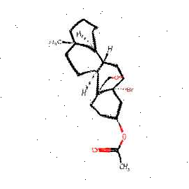 CC(=O)O[C@H]1CC[C@]2(CO)[C@H]3CC[C@]4(C)CCC[C@H]4[C@@H]3CC[C@@]2(Br)C1